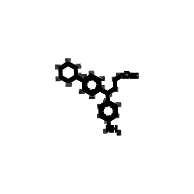 CCCCCCCCCCCCC(c1ccc(N)cc1)c1ccc(C2CCCCC2)cc1